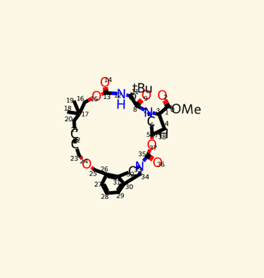 COC(=O)C1C[C@@H]2CN1C(=O)[C@H](C(C)(C)C)NC(=O)OCC(C)(C)CCCCOCc1cccc3c1CN(C3)C(=O)O2